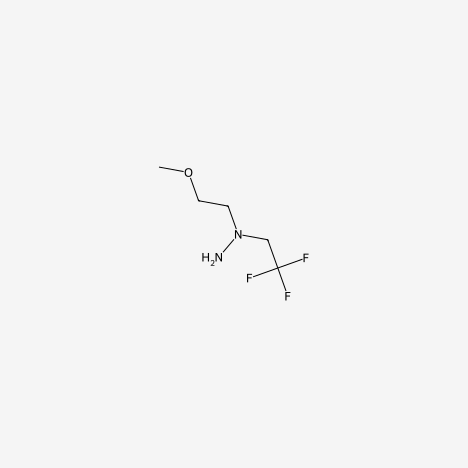 COCCN(N)CC(F)(F)F